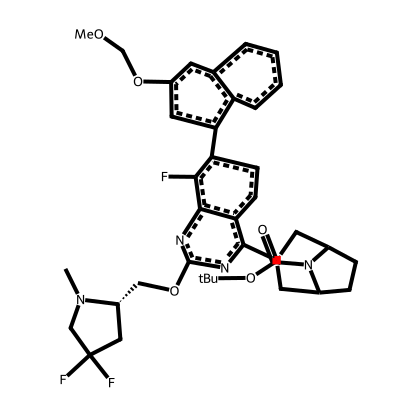 COCOc1cc(-c2ccc3c(N4CC5CCC(C4)N5C(=O)OC(C)(C)C)nc(OC[C@@H]4CC(F)(F)CN4C)nc3c2F)c2ccccc2c1